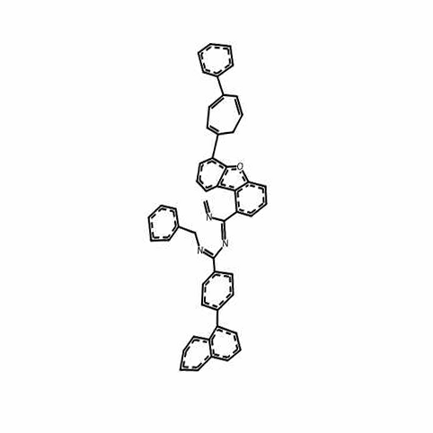 C=N/C(=N\C(=N/Cc1ccccc1)c1ccc(-c2cccc3ccccc23)cc1)c1cccc2oc3c(C4=CC=C(c5ccccc5)C=CC4)cccc3c12